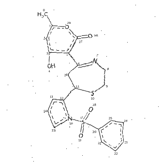 Cc1cc(O)c(C2=NCCSC(c3cccn3S(=O)(=O)c3ccccc3)C2)c(=O)o1